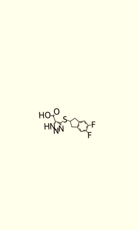 O=C(O)c1[nH]nnc1SC1Cc2cc(F)c(F)cc2C1